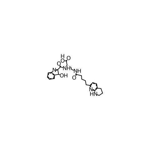 O=C(CCCCc1ccc2c(n1)NCCC2)NCC[C@H](NC(=O)C1=Nc2ccccc2C1O)C(=O)O